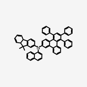 CC1(C)c2cc(N(c3ccc4c(c3)c3ccccc3c3c(-c5ccccc5)c(-c5ccccc5)cc(-c5ccccc5)c43)c3cccc4ccccc34)ccc2C2C=CC=CC21